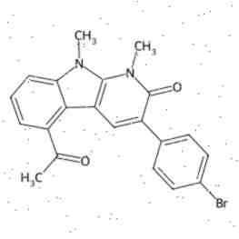 CC(=O)c1cccc2c1c1cc(-c3ccc(Br)cc3)c(=O)n(C)c1n2C